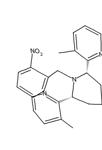 Cc1cccnc1[C@H]1CCC[C@@H](c2ncccc2C)N1Cc1ccccc1[N+](=O)[O-]